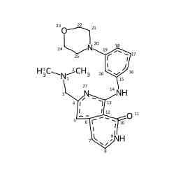 CN(C)Cc1cc2cc[nH]c(=O)c2c(Nc2cccc(N3CCOCC3)c2)n1